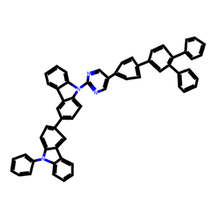 c1ccc(-c2ccc(-c3ccc(-c4cnc(-n5c6ccccc6c6cc(-c7ccc8c(c7)c7ccccc7n8-c7ccccc7)ccc65)nc4)cc3)cc2-c2ccccc2)cc1